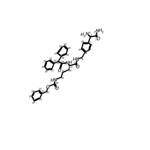 NC(=O)C(N)c1ccc(CNC(=O)[C@@H](CCCNC(=O)OCc2ccccc2)NC(=O)C(c2ccccc2)c2ccccc2)cc1